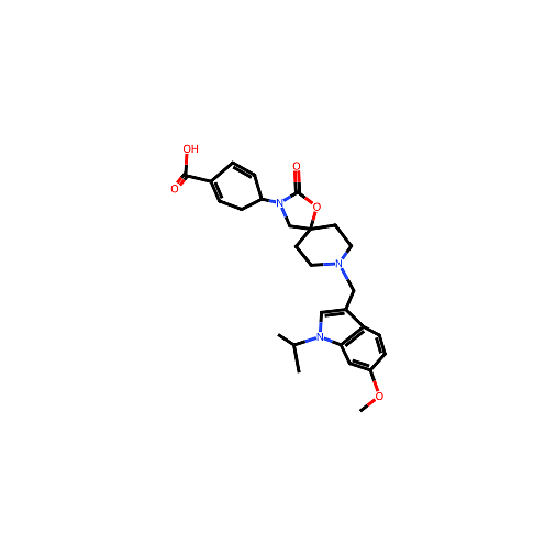 COc1ccc2c(CN3CCC4(CC3)CN(C3C=CC(C(=O)O)=CC3)C(=O)O4)cn(C(C)C)c2c1